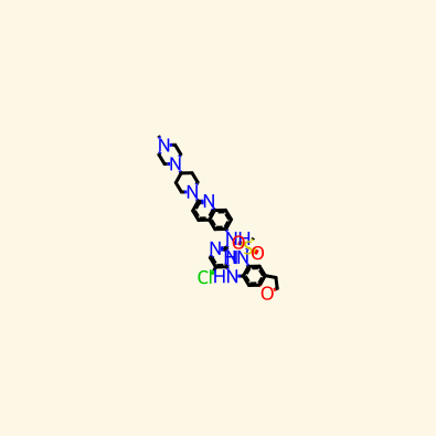 CN1CCN(C2CCN(c3ccc4cc(Nc5ncc(Cl)c(Nc6cc7c(cc6NS(C)(=O)=O)CCO7)n5)ccc4n3)CC2)CC1